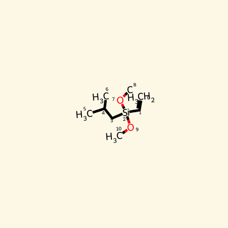 C=C[Si](CC(C)C)(OC)OC